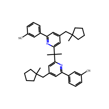 CC1(Cc2cc(-c3cccc(C#N)c3)nc(C(C)(C)c3cc(CC4(C)CCCC4)cc(-c4cccc(C#N)c4)n3)c2)CCCC1